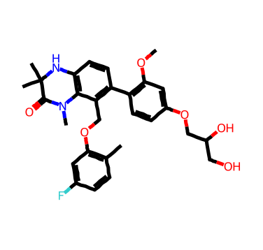 COc1cc(OCC(O)CO)ccc1-c1ccc2c(c1COc1cc(F)ccc1C)N(C)C(=O)C(C)(C)N2